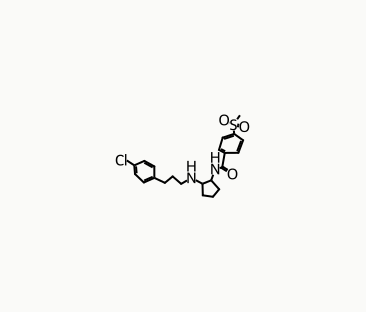 CS(=O)(=O)c1ccc(C(=O)NC2CCCC2NCCCc2ccc(Cl)cc2)cc1